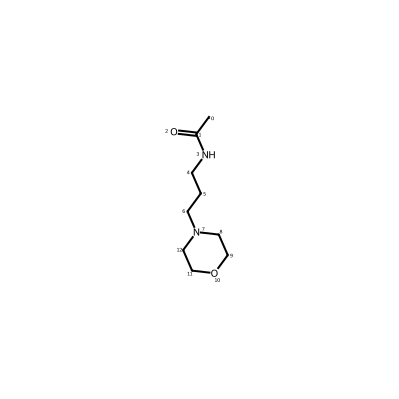 [CH2]C(=O)NCCCN1CCOCC1